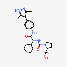 Cc1n[nH]c(C)c1-c1ccc(NC(=O)[C@@H](NC(=O)N2CCCC2C(C)(C)O)C2CCCCC2)cc1